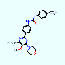 CCOC(=O)c1nc(-c2ccc(NC(=O)Nc3ccc(C(=O)O)cc3)cc2)nc(N2CCOCC2)c1OCC